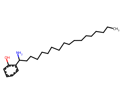 CCCCCCCCCCCCCCCCCC(N)c1ccccc1O